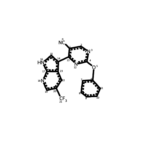 N#Cc1cnc(Oc2ccccc2)nc1-c1c[nH]c2ncc(C(F)(F)F)cc12